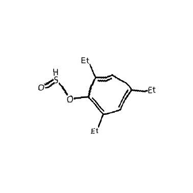 CCc1cc(CC)c(O[SH]=O)c(CC)c1